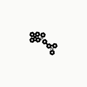 c1ccc(-n2c3ccccc3c3cc(-c4ccc(P(c5ccccc5)c5ccc6c(c5)C(c5ccccc5)(c5ccccc5)c5ccccc5-6)cc4)ccc32)cc1